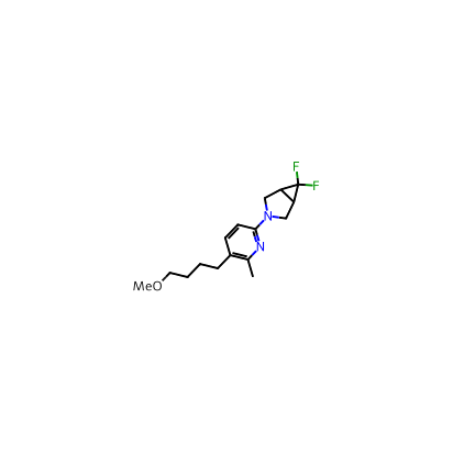 COCCCCc1ccc(N2CC3C(C2)C3(F)F)nc1C